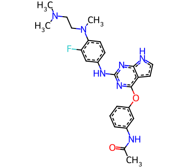 CC(=O)Nc1cccc(Oc2nc(Nc3ccc(N(C)CCN(C)C)c(F)c3)nc3[nH]ccc23)c1